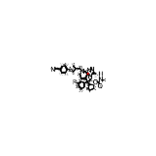 CNC(=O)OC1CCCC1C(Cn1cnnc1C)(c1cccc(F)c1)C1CCN(CC2CN(c3ccc(C#N)cc3)C2)CC1